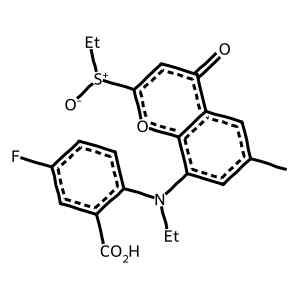 CCN(c1ccc(F)cc1C(=O)O)c1cc(C)cc2c(=O)cc([S+]([O-])CC)oc12